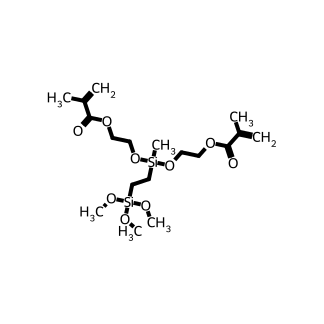 C=C(C)C(=O)OCCO[Si](C)(CC[Si](OC)(OC)OC)OCCOC(=O)C(=C)C